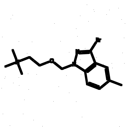 Cc1ccc2c(c1)c(Br)nn2COCC[Si](C)(C)C